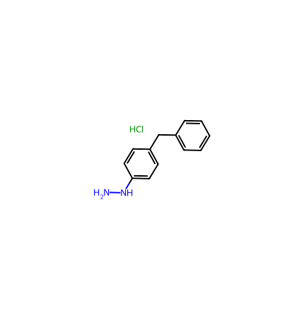 Cl.NNc1ccc(Cc2ccccc2)cc1